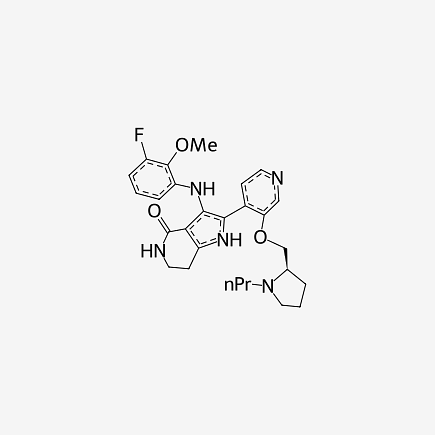 CCCN1CCC[C@@H]1COc1cnccc1-c1[nH]c2c(c1Nc1cccc(F)c1OC)C(=O)NCC2